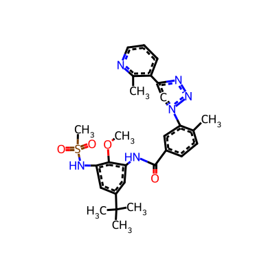 COc1c(NC(=O)c2ccc(C)c(-n3cc(-c4cccnc4C)nn3)c2)cc(C(C)(C)C)cc1NS(C)(=O)=O